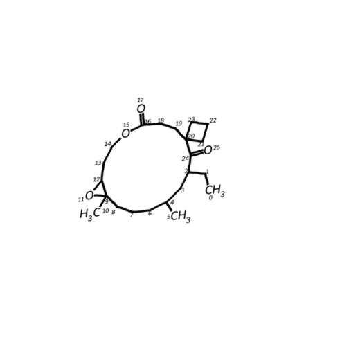 CCC1CC(C)CCCC2(C)OC2CCOC(=O)CCC2(CCC2)C1=O